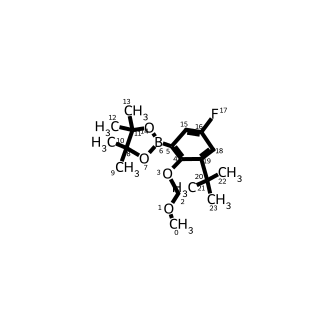 COCOc1c(B2OC(C)(C)C(C)(C)O2)cc(F)cc1C(C)(C)C